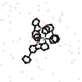 c1ccc(-c2cccc(-n3c4ccccc4c4ccc(-n5c6ccc(-c7ccccc7)cc6c6cccc([Si](c7ccccc7)(c7ccccc7)c7ccccc7)c65)cc43)c2)cc1